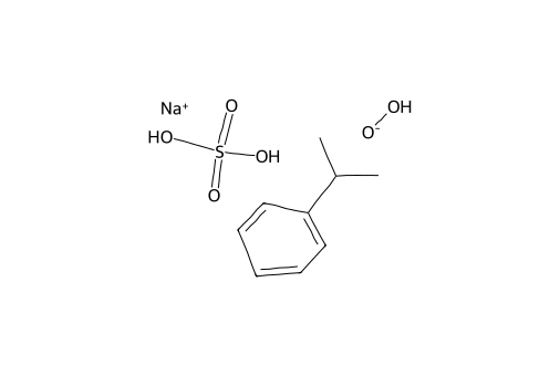 CC(C)c1ccccc1.O=S(=O)(O)O.[Na+].[O-]O